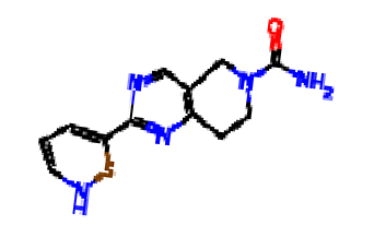 NC(=O)N1CCc2nc(C3=CC=CNS3)ncc2C1